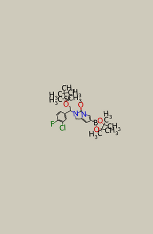 CC1(C)OB(c2cc3n(c2)C(=O)N(C(CO[Si](C)(C)C(C)(C)C)c2ccc(F)c(Cl)c2)C3)OC1(C)C